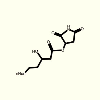 CCCCCCCCCCCC(O)CC(=O)OC1CC(=O)NC1=O